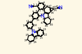 N#Cc1ccccc1-c1ccc(-c2cccc(-n3c4c(c5ccccc53)C=CCC4)c2)cc1N1C2=C(C3=C(CC2)[C@H]3C#N)C2CCC=CC21